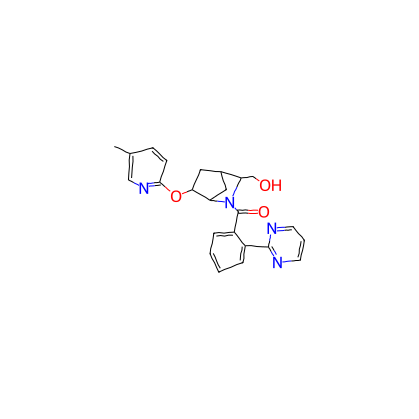 Cc1ccc(OC2CC3CC2N(C(=O)c2ccccc2-c2ncccn2)C3CO)nc1